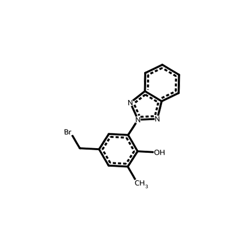 Cc1cc(CBr)cc(-n2nc3ccccc3n2)c1O